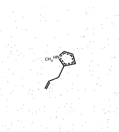 C.C=CCc1ccc[nH]1